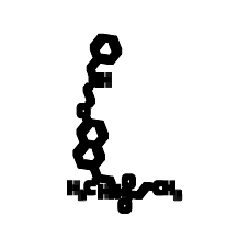 CCCS(=O)(=O)NCC(C)c1ccc2cc(OCCNCc3ccccc3)ccc2c1